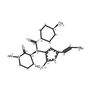 CCCN1CCC[C@H](N(c2cc(C#CC(C)(C)C)sc2C(=O)O)C(=O)[C@H]2CC[C@H](C)CC2)C1=O